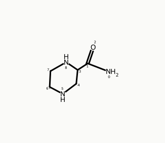 NC(=O)C1CN[CH]CN1